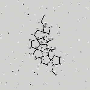 CCN1CCCC12CCC1(CCC3(CCC4(CCC5(CCN5CC)N4CC)N3CC)N1CC)N2CC